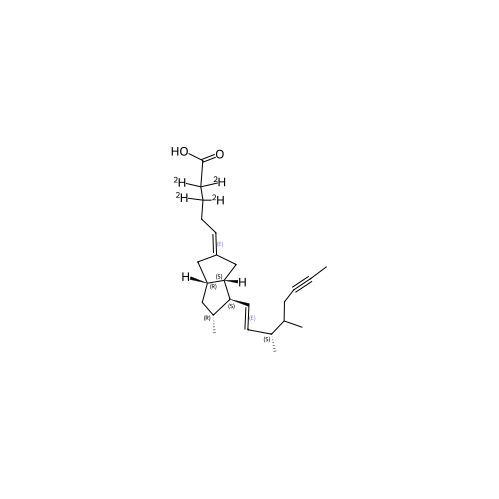 [2H]C([2H])(C/C=C1\C[C@H]2C[C@@H](C)[C@H](/C=C/[C@@H](C)C(C)CC#CC)[C@H]2C1)C([2H])([2H])C(=O)O